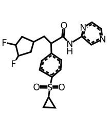 O=C(Nc1cnccn1)C(CC1CC(F)C(F)C1)c1ccc(S(=O)(=O)C2CC2)cc1